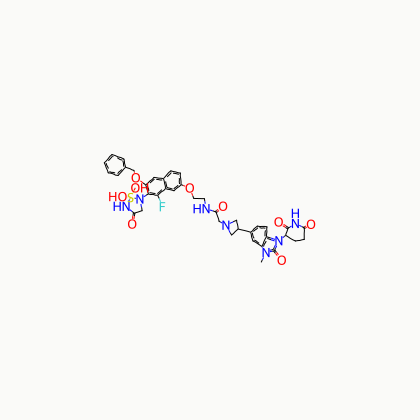 Cn1c(=O)n(C2CCC(=O)NC2=O)c2ccc(C3CN(CC(=O)NCCOc4ccc5cc(OCc6ccccc6)c(N6CC(=O)NS6(O)O)c(F)c5c4)C3)cc21